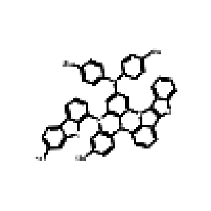 CC(C)(C)C1=CCC(N(c2ccc(C(C)(C)C)cc2)c2cc3c4c(c2)-n2c5c(cccc5c5sc6ccccc6c52)B4c2ccc(C(C)(C)C)cc2N3c2cccc3c2sc2cc(C(C)(C)C)ccc23)C=C1